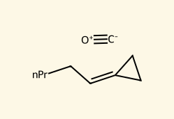 CCCCC=C1CC1.[C-]#[O+]